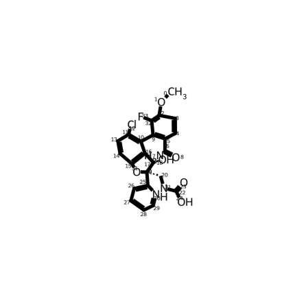 COc1ccc(C(N)=O)c(-c2c(Cl)ccc3c2[C@H](O)[C@@](CNC(=O)O)(c2ccccn2)O3)c1F